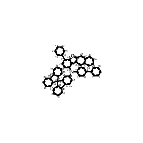 c1ccc(-c2ccc(N(c3ccc4c(c3)C3(c5ccccc5-c5ccccc53)c3ccccc3-4)c3ccc(-c4ccccc4)c4oc5cc6ccccc6cc5c34)cc2)cc1